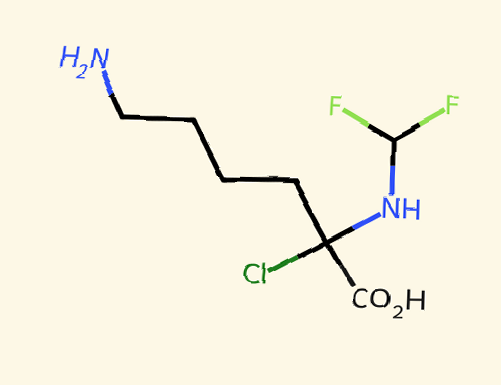 NCCCCC(Cl)(NC(F)F)C(=O)O